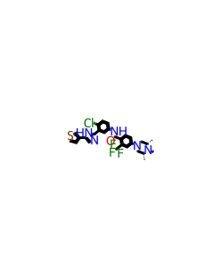 C[C@@H]1CN(c2ccc(C(=O)Nc3ccc(Cl)c(-c4ncc(-c5ccsc5)[nH]4)c3)c(C(F)(F)F)c2)C[C@H](C)N1C